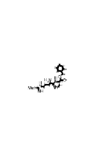 CNC(=N)NCCC[C@@H](N)C(=O)N[C@@H](CC(C)C)C(=O)OCc1ccccc1